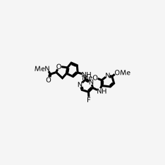 CNC(=O)C1Cc2cc(Nc3ncc(F)c(Nc4ccc(OC)nc4OC)n3)ccc2O1